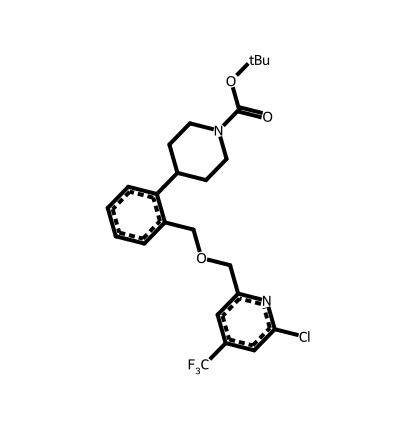 CC(C)(C)OC(=O)N1CCC(c2ccccc2COCc2cc(C(F)(F)F)cc(Cl)n2)CC1